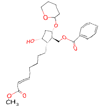 COC(=O)/C=C/CCCC[C@H]1[C@H](COC(=O)c2ccccc2)[C@@H](OC2CCCCO2)C[C@H]1O